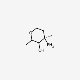 CC1OCC[C@@](C)(P)C1O